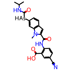 CC(C)NC(=O)[AsH]c1ccc2cc(C(=O)Nc3ccc(C#N)cc3C(=O)O)n(C)c2c1